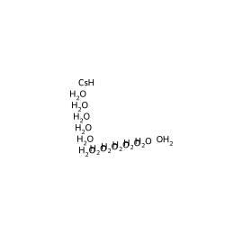 O.O.O.O.O.O.O.O.O.O.O.O.[CsH]